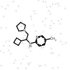 Cc1ccc(NC(CN2CCCC2)C2CCC2)nc1